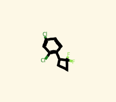 FC1(F)CCC1c1ccc(Cl)cc1Cl